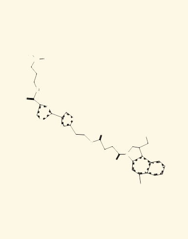 C[S+](C)CCCNC(=O)c1csc(-c2csc(CCNC(=O)CCC(=O)N3CC(CCl)c4c3cc(O)c3ccccc43)n2)n1.[I-]